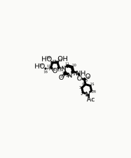 CC(=O)N1CCC(C(=O)ONc2ccn([C@@H]3O[C@H](CO)[C@@H](O)[C@H]3O)c(=O)n2)CC1